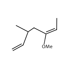 C=CC(C)C/C(=C\C)OC